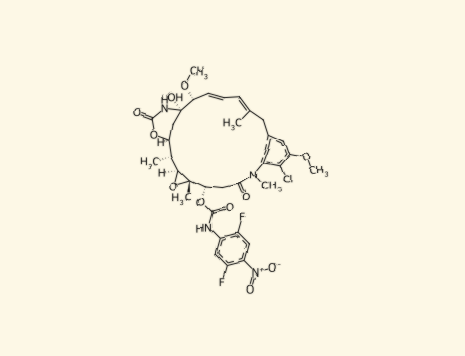 COc1cc2cc(c1Cl)N(C)C(=O)C[C@H](OC(=O)Nc1cc(F)c([N+](=O)[O-])cc1F)[C@]1(C)O[C@H]1[C@H](C)[C@@H]1C[C@@](O)(NC(=O)O1)[C@H](OC)/C=C/C=C(\C)C2